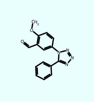 COc1ccc(-n2nnnc2-c2ccccc2)cc1C=O